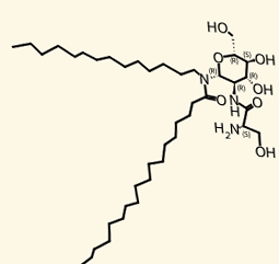 CCCCCCCCCCCCCCCCCC(=O)N(CCCCCCCCCCCCCC)[C@@H]1O[C@H](CO)[C@@H](O)[C@H](O)[C@H]1NC(=O)[C@@H](N)CO